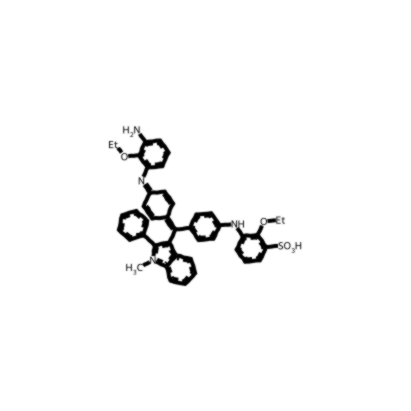 CCOc1c(N)cccc1N=C1C=CC(=C(c2ccc(Nc3cccc(S(=O)(=O)O)c3OCC)cc2)c2c(-c3ccccc3)n(C)c3ccccc23)C=C1